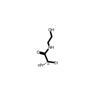 CCC[C@@H](CC)C(=O)NCCO